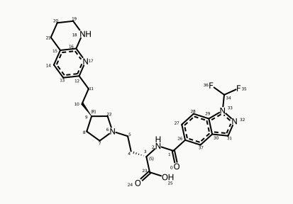 O=C(N[C@@H](CCN1CC[C@@H](CCc2ccc3c(n2)NCCC3)C1)C(=O)O)c1ccc2c(cnn2C(F)F)c1